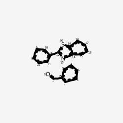 O=Cc1ccccc1.c1ccc(-c2nc3ccccc3s2)cc1